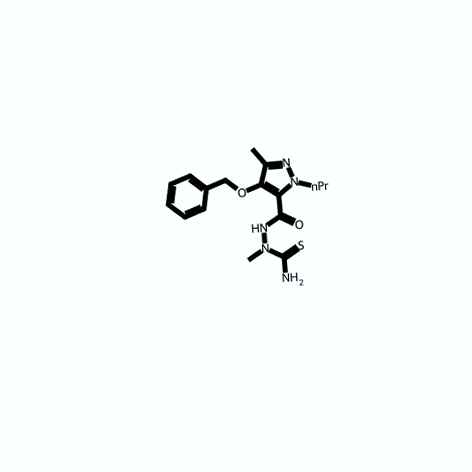 CCCn1nc(C)c(OCc2ccccc2)c1C(=O)NN(C)C(N)=S